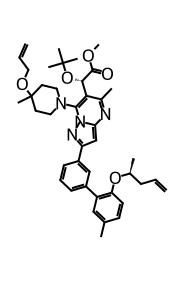 C=CCOC1(C)CCN(c2c([C@H](OC(C)(C)C)C(=O)OC)c(C)nc3cc(-c4cccc(-c5cc(C)ccc5O[C@@H](C)CC=C)c4)nn23)CC1